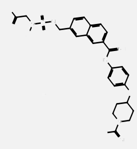 CC(=N)N1CCC(Oc2ccc(NC(=N)c3ccc4ccc(CNS(=O)(=O)N(C)CC(=O)O)cc4c3)cc2)CC1.Cl.Cl